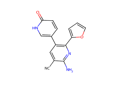 N#Cc1cc(-c2ccc(=O)[nH]c2)c(-c2ccco2)nc1N